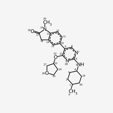 CC1CCC(Nc2ncc(-c3ccc4c(c3)CC(=O)N4C)c(OC3CCOC3)n2)CC1